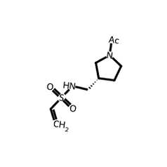 C=CS(=O)(=O)NC[C@H]1CCN(C(C)=O)C1